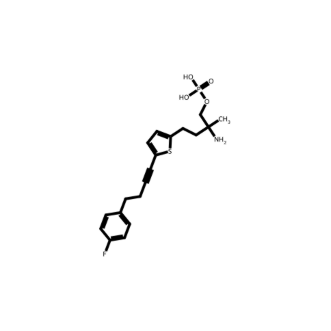 CC(N)(CCc1ccc(C#CCCc2ccc(F)cc2)s1)COP(=O)(O)O